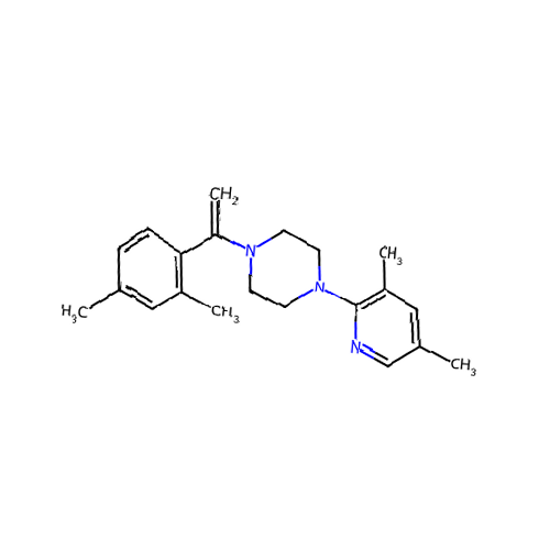 C=C(c1ccc(C)cc1C)N1CCN(c2ncc(C)cc2C)CC1